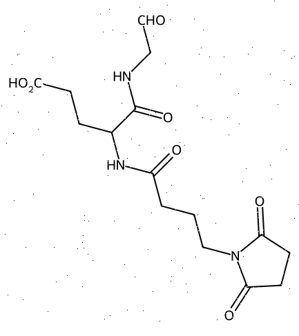 O=CCNC(=O)C(CCC(=O)O)NC(=O)CCCN1C(=O)CCC1=O